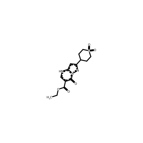 CCOC(=O)c1c[nH]c2cc(C3CCS(=O)(=O)CC3)nn2c1=O